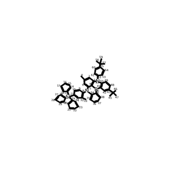 Cc1cc2c3c(c1)N(c1ccc([Si](c4ccccc4)(c4ccccc4)c4ccccc4)cc1C)c1ccccc1B3c1cc(C(C)(C)C)ccc1N2c1ccc(C(C)(C)C)cc1